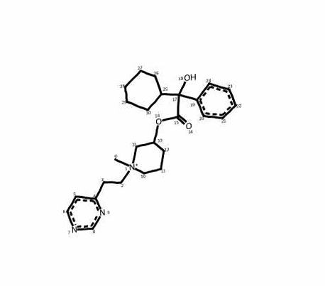 C[N+]1(CCc2ccncn2)CCCC(OC(=O)C(O)(c2ccccc2)C2CCCCC2)C1